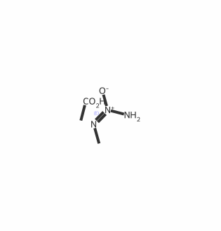 C/N=[N+](\N)[O-].CC(=O)O